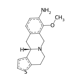 COc1c(N)ccc2c1CN1CCc3sccc3[C@@H]1C2